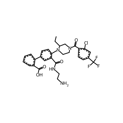 CCC1CN(C(=O)c2ccc(C(F)(F)F)cc2Cl)CCN1c1ccc(-c2ccccc2C(=O)O)cc1C(=O)NCCN